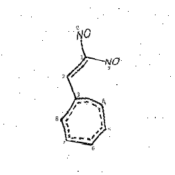 O=NC(=Cc1ccccc1)N=O